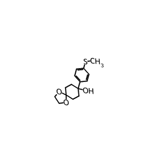 CSc1ccc(C2(O)CCC3(CC2)OCCO3)cc1